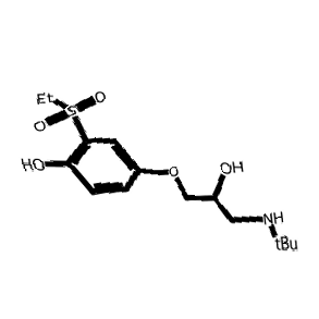 CCS(=O)(=O)c1cc(OCC(O)CNC(C)(C)C)ccc1O